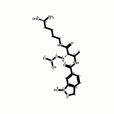 CCB(O)ON[C@H](C(=O)NCCCC[C@H](N)C=O)C(C)NC(=O)c1ccc2c(c1)B(O)OC2